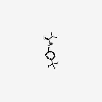 CC(C)C(=O)NCc1ccc(C(F)(F)F)cc1